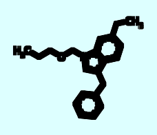 CCCOCn1cc(Cc2ccccc2)c2ccc(CC)cc21